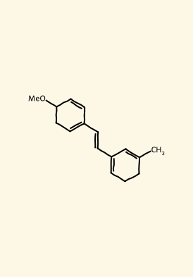 COC1C=CC(/C=C/C2=CCCC(C)=C2)=CC1